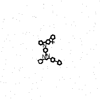 CC1(C)c2ccccc2-c2cc3c4ccccc4n(-c4ccc(-c5nc(C6=CCCC=C6)cc(-c6ccc(-c7ccccc7)cc6)n5)cc4)c3cc21